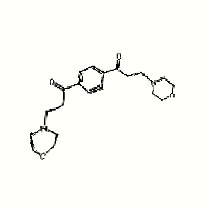 O=C(CCN1CCOCC1)c1ccc(C(=O)CCN2CCOCC2)cc1